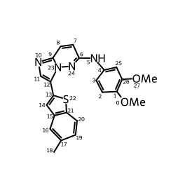 COc1ccc(Nc2ccc3ncc(-c4cc5cc(C)ccc5s4)n3n2)cc1OC